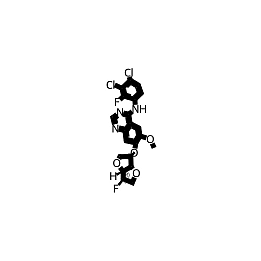 COc1cc2c(Nc3ccc(Cl)c(Cl)c3F)ncnc2cc1O[C@@H]1CO[C@@H]2C1OC[C@H]2F